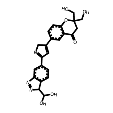 O=C1CC(CO)(CO)Oc2ccc(C3=CC(c4ccc5c(c4)N=NC5C(O)O)=NC3)cc21